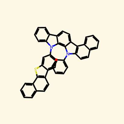 c1ccc(-n2c3ccc4ccccc4c3c3ccc4c5ccccc5n(-c5ccc6c(c5)sc5c7ccccc7ccc65)c4c32)cc1